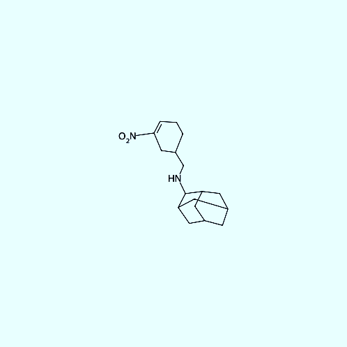 O=[N+]([O-])C1=CCCC(CNC2C3CC4CC(C3)CC2C4)C1